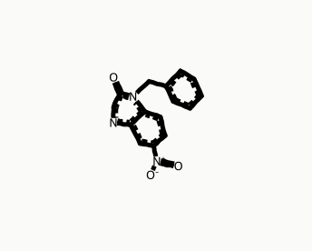 O=c1cnc2cc([N+](=O)[O-])ccc2n1Cc1ccccc1